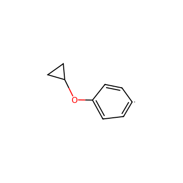 [c]1ccc(OC2CC2)cc1